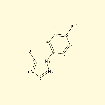 Cc1n[c]nn1-c1ccc(F)cc1